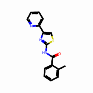 Cc1ccccc1C(=O)Nc1nc(-c2ccccn2)cs1